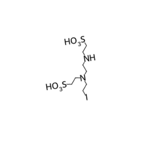 O=S(=O)(O)CCNCCN(CCI)CCS(=O)(=O)O